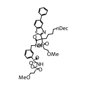 CCCCCCCCCCCCCCC(C(=O)NCc1cccc(S(=O)(=O)NS(=O)(=O)CCOC)c1)(c1nc2cc(-c3ccccc3)ccc2s1)S(=O)(=O)CCOC